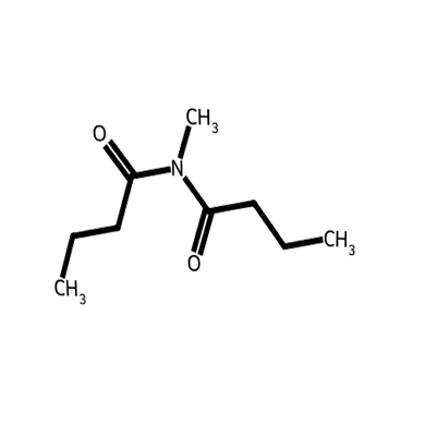 CCCC(=O)N(C)C(=O)CCC